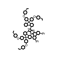 C=Cc1ccc(Oc2ccc(C3(c4ccc(Oc5ccc(C=C)cc5)cc4)c4ccccc4-c4c(-c5sc(-c6cccc7c6-c6ccccc6C7(c6ccc(Oc7ccc(C=C)cc7)cc6)c6ccc(Oc7ccc(C=C)cc7)cc6)c6nc7c8ccc(C(C)C)cc8c8cc(C(C)C)ccc8c7nc56)cccc43)cc2)cc1